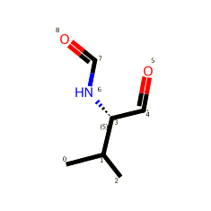 CC(C)[C@@H]([C]=O)NC=O